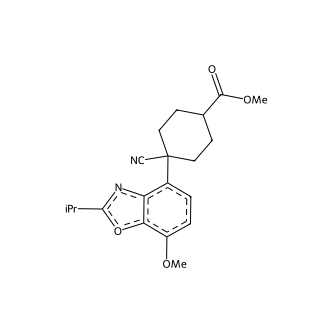 COC(=O)C1CCC(C#N)(c2ccc(OC)c3oc(C(C)C)nc23)CC1